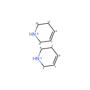 C1=CCNCC1.C1=CCNCC1